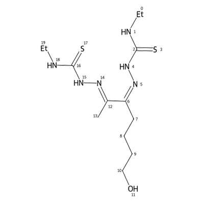 CCNC(=S)N/N=C(CCCCO)\C(C)=N\NC(=S)NCC